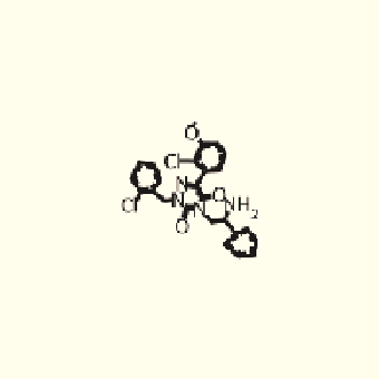 COc1cccc(-c2nn(Cc3ccccc3Cl)c(=O)n(CC(N)c3ccccc3)c2=O)c1Cl